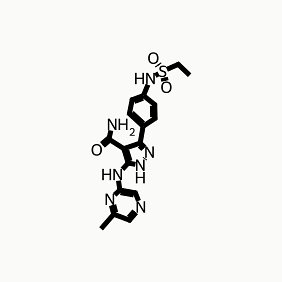 CCS(=O)(=O)Nc1ccc(-c2n[nH]c(Nc3cncc(C)n3)c2C(N)=O)cc1